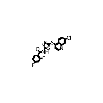 O=C(Nc1nnc(Sc2ccnc3cc(Cl)ccc23)s1)c1ccc(F)cc1F